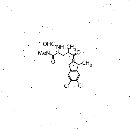 CNC(=O)C(CC(C)C(=O)N1Cc2cc(Cl)c(Cl)cc2C1C)NC=O